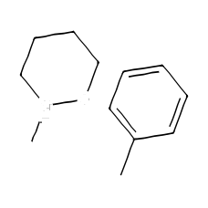 C[SiH]1CCCCO1.Cc1ccccc1